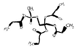 C=CC(=O)OC(COP(=O)(O)OC(=O)C=C)(OC(=O)C=C)OC(=O)C=C